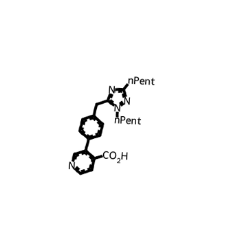 CCCCCc1nc(Cc2ccc(-c3cnccc3C(=O)O)cc2)n(CCCCC)n1